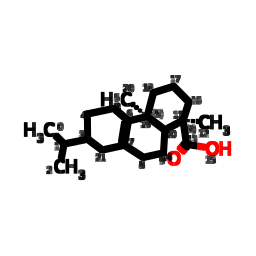 CC(C)C1CCC2=C(CCC3[C@](C)(C(=O)O)CCC[C@]23C)C1